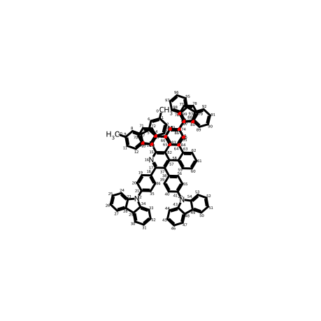 Cc1ccc2c(c1)c1cc(C)ccc1n2-c1nc(-c2ccc(-n3c4ccccc4c4ccccc43)cc2)c(-c2ccc(-n3c4ccccc4c4ccccc43)cc2)c(-c2ccccc2-c2cc(-c3ccccc3)nc(-c3ccccc3)n2)c1-c1ccc(-n2c3ccccc3c3ccccc32)cc1